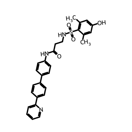 Cc1cc(O)cc(C)c1S(=O)(=O)NCCC(=O)Nc1ccc(-c2ccc(-c3ccccn3)cc2)cc1